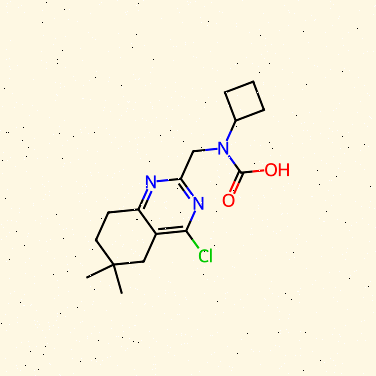 CC1(C)CCc2nc(CN(C(=O)O)C3CCC3)nc(Cl)c2C1